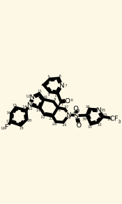 O=C(c1ccccn1)[C@]12Cc3cnn(-c4ccc(F)cc4)c3C=C1CCN(S(=O)(=O)c1ccc(C(F)(F)F)nc1)C2